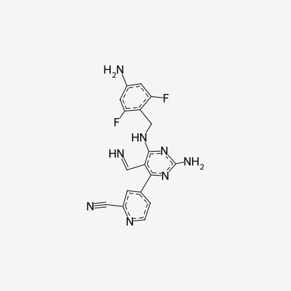 N#Cc1cc(-c2nc(N)nc(NCc3c(F)cc(N)cc3F)c2C=N)ccn1